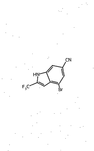 N#Cc1cc(Br)c2cc(C(F)(F)F)[nH]c2c1